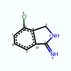 N=C1NCc2c(Cl)cccc21